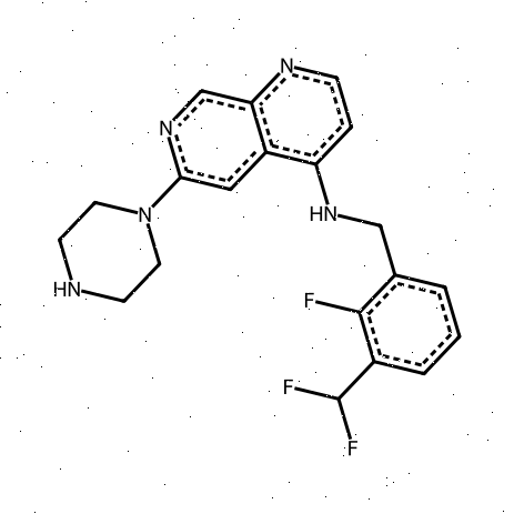 Fc1c(CNc2ccnc3cnc(N4CCNCC4)cc23)cccc1C(F)F